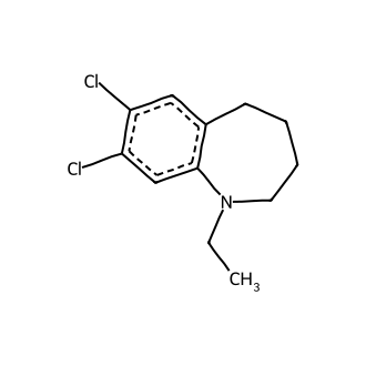 CCN1CCCCc2cc(Cl)c(Cl)cc21